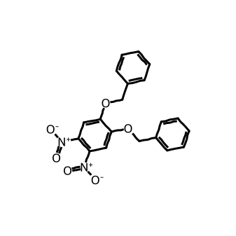 O=[N+]([O-])c1cc(OCc2ccccc2)c(OCc2ccccc2)cc1[N+](=O)[O-]